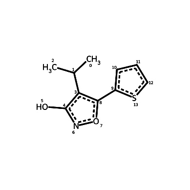 CC(C)c1c(O)noc1-c1cccs1